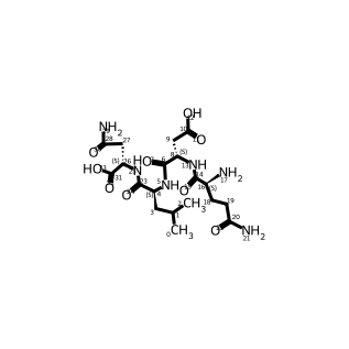 CC(C)C[C@H](NC(=O)[C@H](CC(=O)O)NC(=O)[C@@H](N)CCC(N)=O)C(=O)N[C@@H](CC(N)=O)C(=O)O